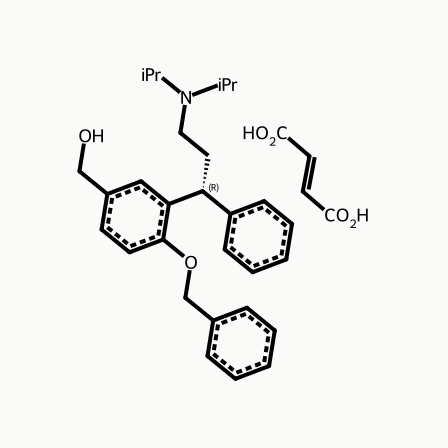 CC(C)N(CC[C@H](c1ccccc1)c1cc(CO)ccc1OCc1ccccc1)C(C)C.O=C(O)C=CC(=O)O